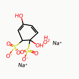 O.O=S(=O)([O-])C1C=C(O)C=CC1(O)S(=O)(=O)[O-].[Na+].[Na+]